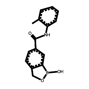 Cc1ccccc1NC(=O)c1ccc2c(c1)B(O)OC2